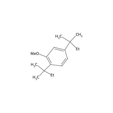 [CH2]Oc1cc(C(C)(C)CC)ccc1C(C)(C)CC